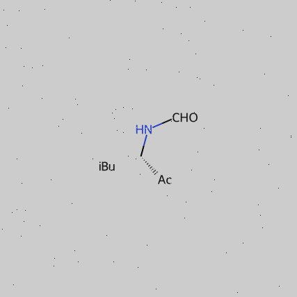 CC[C@H](C)[C@H](NC=O)C(C)=O